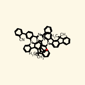 CC1(C)c2ccccc2-c2ccc3c(c21)c1ccccc1n3-c1ccc(C#N)cc1-c1nc(-c2ccccc2)nc(-c2ccc(-c3ccccc3C#N)cc2-n2c3ccccc3c3c4c(ccc32)-c2ccccc2C4(C)C)n1